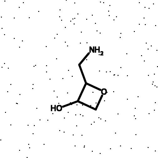 NCC1OCC1O